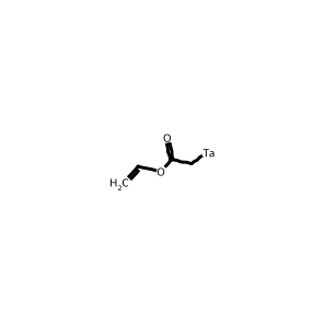 C=COC(=O)[CH2][Ta]